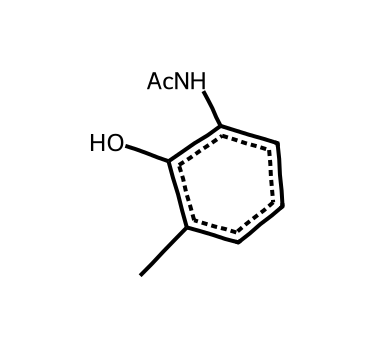 CC(=O)Nc1cccc(C)c1O